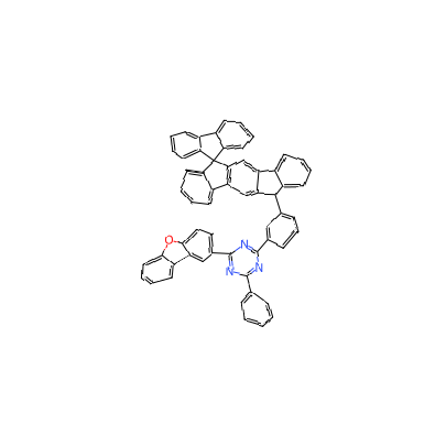 c1ccc(-c2nc(-c3cccc(C4c5ccccc5-c5cc6c(cc54)-c4ccccc4C64c5ccccc5-c5ccccc54)c3)nc(-c3ccc4oc5ccccc5c4c3)n2)cc1